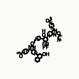 C=CC(=O)N1CCN(c2nc(OCCN3CCC(c4cc(OC(F)(F)F)cc(N5CCc6c(nc(O[C@H](C)CN(C)C)nc6N6CCN(C(=O)C=C)CC6)C5)c4O)C3)nc3c2CCN(c2cc(O)cc4ccccc24)C3)CC1